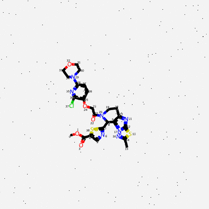 COC(=O)c1cnc(C2c3c(nc4sc(C)nn34)CCN2C(=O)COc2ccc(N3CCOCC3)nc2Cl)s1